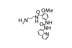 COc1ccc(NC(=O)Nc2cccc3cccnc23)cc1C(=O)NCCCN